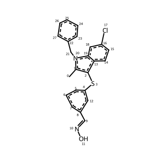 Cc1c(Sc2cccc(/C=N/O)c2)c2ccc(Cl)cc2n1Cc1ccccc1